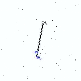 CCCCCCCCCCCCCCCCC=CNCCN